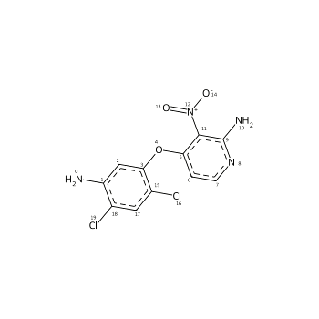 Nc1cc(Oc2ccnc(N)c2[N+](=O)[O-])c(Cl)cc1Cl